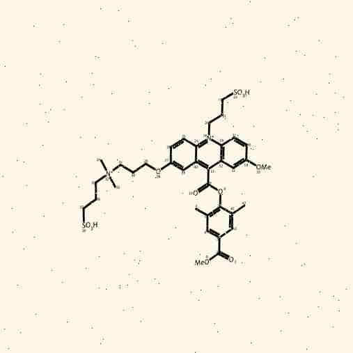 COC(=O)c1cc(C)c(OC(=O)c2c3cc(OC)ccc3[n+](CCCS(=O)(=O)O)c3ccc(OCCC[N+](C)(C)CCCS(=O)(=O)O)cc23)c(C)c1